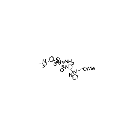 COCCCn1c(C2CCCN(C(=O)[C@@H]3CN(S(=O)(=O)c4cccc(-c5csc(C)n5)c4)C[C@H]3N)C2)nc2ccccc21